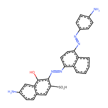 Nc1ccc(N=Nc2ccc(N=Nc3c(S(=O)(=O)O)cc4ccc(N)cc4c3O)c3ccccc23)cc1